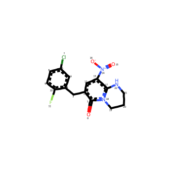 O=c1c(Cc2cc(Cl)ccc2F)cc([N+](=O)[O-])c2n1CCCN2